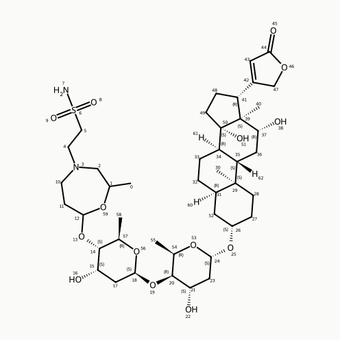 CC1CN(CCS(N)(=O)=O)CCC(O[C@H]2[C@@H](O)C[C@H](O[C@@H]3[C@@H](O)C[C@@H](O[C@H]4CC[C@@]5(C)[C@H](CC[C@@H]6[C@@H]5C[C@@H](O)[C@]5(C)[C@@H](C7=CC(=O)OC7)CC[C@]65O)C4)O[C@@H]3C)O[C@@H]2C)O1